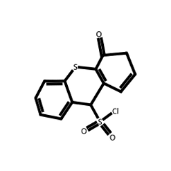 O=C1CC=CC2=C1Sc1ccccc1C2S(=O)(=O)Cl